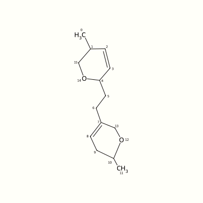 CC1C=CC(CCC2=CCC(C)OC2)OC1